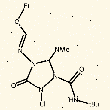 CCOC=NN1C(=O)N(Cl)N(C(=O)NC(C)(C)C)C1NC